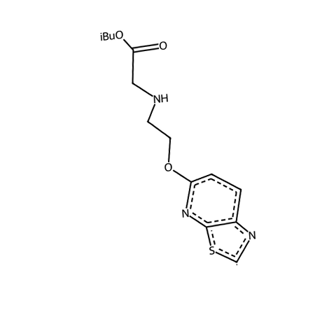 CC(C)COC(=O)CNCCOc1ccc2n[c]sc2n1